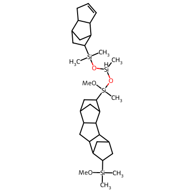 CO[Si](C)(C)C1CC2CC1C1CC3C4CC(C3C21)C([Si](C)(OC)O[SiH](C)O[Si](C)(C)C1CC2CC1C1C=CCC21)C4